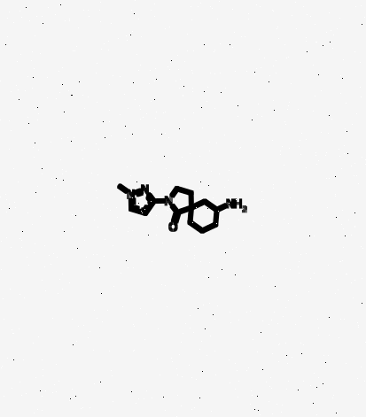 Cn1ccc(N2CCC3(CCCC(N)C3)C2=O)n1